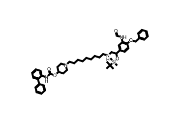 CC(C)(C)[Si](C)(C)OC(CNCCCCCCCCCN1CCC(OC(=O)Nc2ccccc2-c2ccccc2)CC1)c1ccc(OCc2ccccc2)c(NC=O)c1